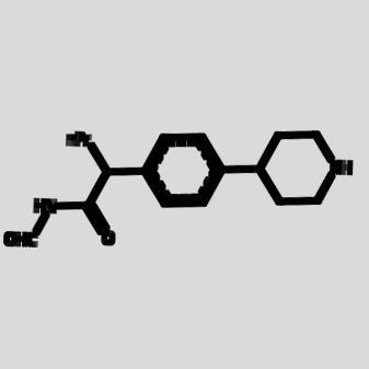 CCCC(C(=O)NC=O)c1ccc(C2CCNCC2)cc1